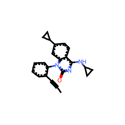 CC#Cc1ccccc1-n1c(=O)nc(NC2CC2)c2ccc(C3CC3)cc21